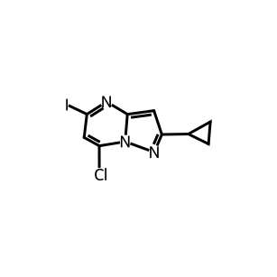 Clc1cc(I)nc2cc(C3CC3)nn12